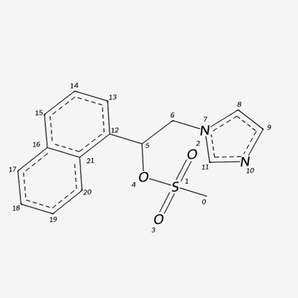 CS(=O)(=O)OC(Cn1ccnc1)c1cccc2ccccc12